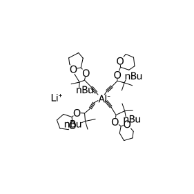 CCCCC(C)(C)C(C#[C][Al-]([C]#CC(OC1CCCCO1)C(C)(C)CCCC)([C]#CC(OC1CCCCO1)C(C)(C)CCCC)[C]#CC(OC1CCCCO1)C(C)(C)CCCC)OC1CCCCO1.[Li+]